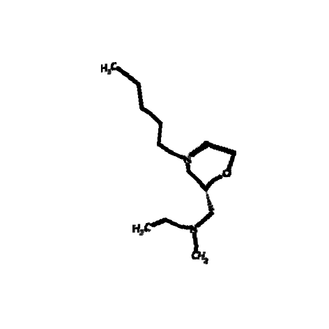 CCCCCN1CCO[C@H](CN(C)CC)C1